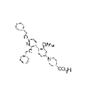 COc1cc(N2CCC(C(=O)O)CC2)ccc1-c1ccc(OCc2ccccc2)nc1OCc1ccccc1